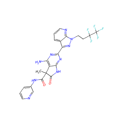 CC1(C(=O)Nc2cccnc2)C(=O)Nc2nc(-c3nn(CCC(F)(F)C(F)(F)F)c4ncccc34)nc(N)c21